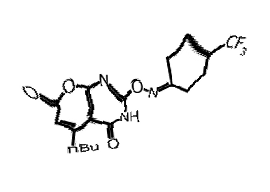 CCCCc1cc(=O)oc2nc(ON=C3CCC(C(F)(F)F)CC3)[nH]c(=O)c12